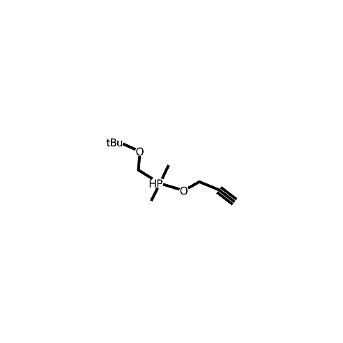 C#CCO[PH](C)(C)COC(C)(C)C